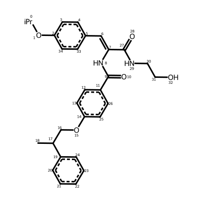 CC(C)Oc1ccc(C=C(NC(=O)c2ccc(OCC(C)c3ccccc3)cc2)C(=O)NCCO)cc1